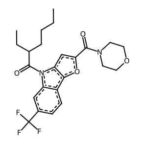 CCCCC(CC)C(=O)n1c2cc(C(F)(F)F)ccc2c2oc(C(=O)N3CCOCC3)cc21